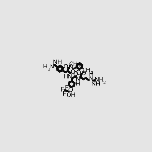 COC(=O)C(CCCNC(=N)N)NC(=O)C(NC(=O)C(Cc1ccc(C(=N)N)cc1)C(=O)N(C)Cc1ccccc1)C1CCCCC1.O=C(O)C(F)(F)F